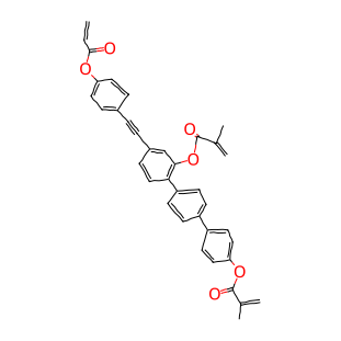 C=CC(=O)Oc1ccc(C#Cc2ccc(-c3ccc(-c4ccc(OC(=O)C(=C)C)cc4)cc3)c(OC(=O)C(=C)C)c2)cc1